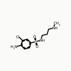 CNCCCNS(=O)(=O)c1ccc(N)c(Cl)c1